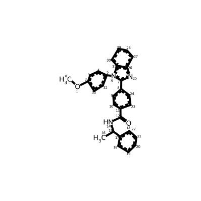 COc1ccc(-n2c(-c3ccc(C(=O)NC(C)c4ccccc4)cc3)nc3ccccc32)cc1